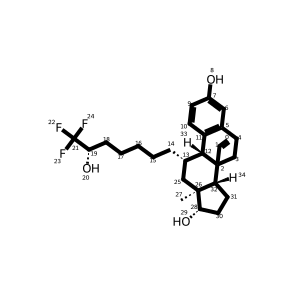 C=CC12CCc3cc(O)ccc3[C@H]1[C@@H](CCCCC[C@H](O)C(F)(F)F)C[C@]1(C)[C@@H](O)CC[C@@H]21